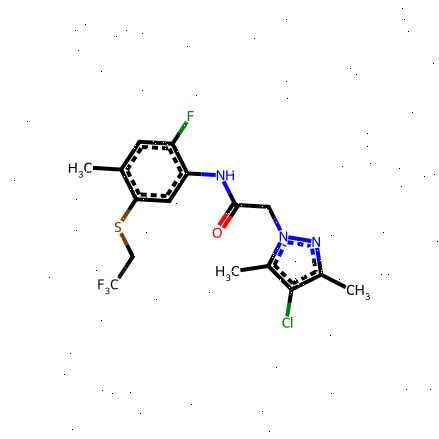 Cc1cc(F)c(NC(=O)Cn2nc(C)c(Cl)c2C)cc1SCC(F)(F)F